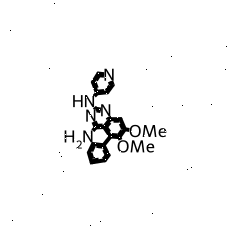 COc1cc2nc(Nc3ccncc3)nc(N)c2c(-c2ccccc2)c1OC